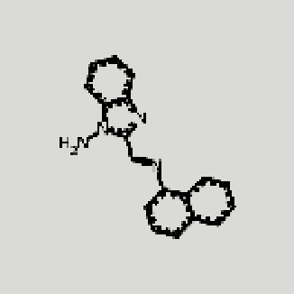 Nn1c(/C=N/c2cccc3ccccc23)nc2ccccc21